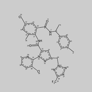 Cc1ccc(C(C)NC(=O)c2cc(Cl)cc(C)c2NC(=O)c2cc(Cn3nnc(C(F)(F)F)n3)nn2-c2ncccc2Cl)cc1